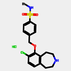 CCNS(=O)(=O)c1ccc(COc2c(Cl)ccc3c2CCNCC3)cc1.Cl